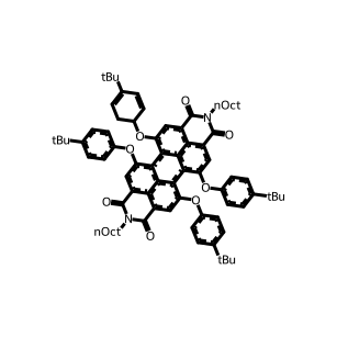 CCCCCCCCN1C(=O)c2cc(Oc3ccc(C(C)(C)C)cc3)c3c4c(Oc5ccc(C(C)(C)C)cc5)cc5c6c(cc(OC7C=CC(C(C)(C)C)=CC7)c(c7c(Oc8ccc(C(C)(C)C)cc8)cc(c2c37)C1=O)c64)C(=O)N(CCCCCCCC)C5=O